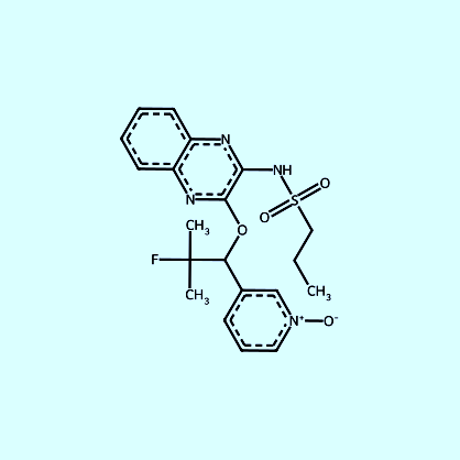 CCCS(=O)(=O)Nc1nc2ccccc2nc1OC(c1ccc[n+]([O-])c1)C(C)(C)F